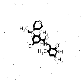 CCN(c1cc(Cl)cc(C(=O)NCc2c(C)cc(C)[nH]c2=O)c1C)C1CCSCC1